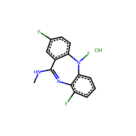 CNC1=Nc2c(F)cccc2N(F)c2ccc(F)cc21.Cl